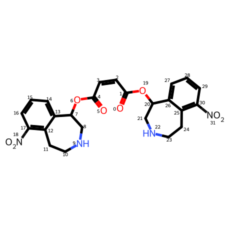 O=C(/C=C\C(=O)OC1CNCCc2c1cccc2[N+](=O)[O-])OC1CNCCc2c1cccc2[N+](=O)[O-]